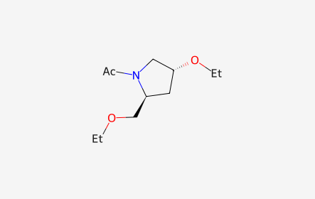 CCOC[C@@H]1C[C@@H](OCC)CN1C(C)=O